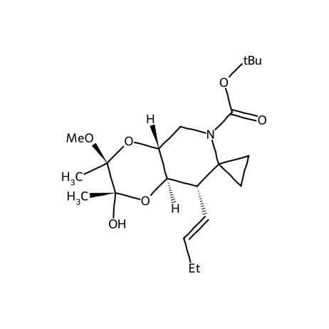 CC/C=C/[C@@H]1[C@H]2O[C@](C)(O)[C@@](C)(OC)O[C@@H]2CN(C(=O)OC(C)(C)C)C12CC2